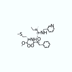 CC[C@H](C)[C@@H](CO[C@@H](Cc1ccccc1)C(=O)N[C@@H](CCSC)C(=O)OC)NCc1cccnc1